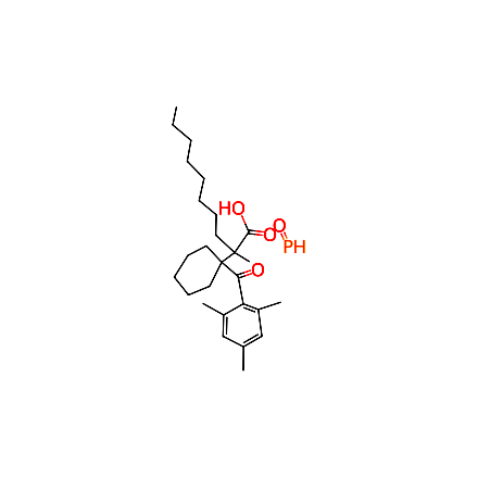 CCCCCCCCC(C)(C(=O)O)C1(C(=O)c2c(C)cc(C)cc2C)CCCCC1.O=P